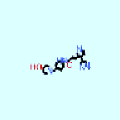 Cn1cc(-c2ccncc2/C=C/C(=O)Nc2ccc(CN3CCC(O)CC3)cc2)cn1